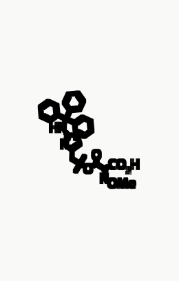 CON=C(C(=O)O)C(=O)OC(C)(C)Cc1csc(NC(c2ccccc2)(c2ccccc2)c2ccccc2)n1